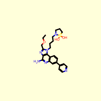 CCOCc1nc2c(N)nc3cc(-c4ccncc4)ccc3c2n1CCCCN1CCCS1(O)O